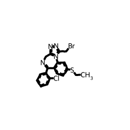 CCSc1ccc2c(c1)-n1c(CBr)nnc1CN=C2c1ccccc1Cl